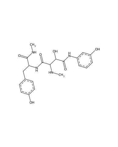 CNC(=O)C(Cc1ccc(O)cc1)NC(=O)C(NC)C(O)C(=O)Nc1cccc(O)c1